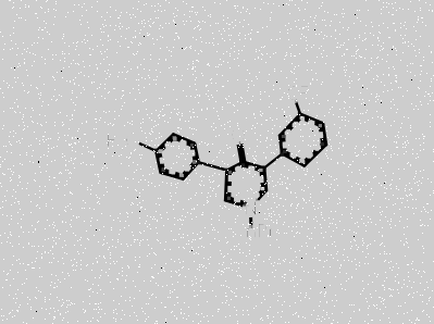 CCCn1cc(-c2ccc(C(F)(F)F)cc2)c(=O)c(-c2cccc(C(F)(F)F)c2)c1